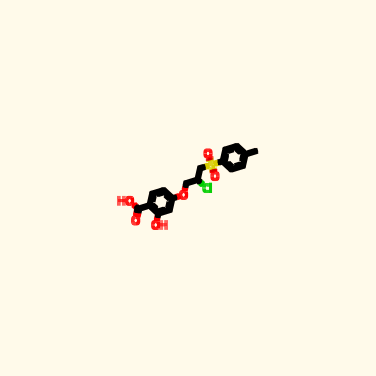 Cc1ccc(S(=O)(=O)CC(Cl)COc2ccc(C(=O)O)c(O)c2)cc1